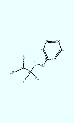 FC(F)C(F)(F)SNc1ccccc1